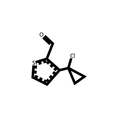 O=Cc1sccc1C1(Cl)CC1